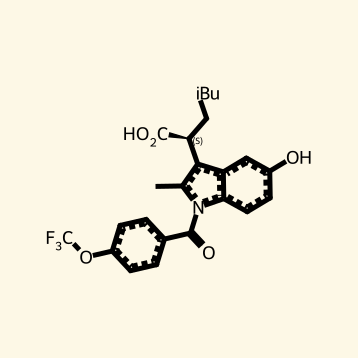 CCC(C)C[C@H](C(=O)O)c1c(C)n(C(=O)c2ccc(OC(F)(F)F)cc2)c2ccc(O)cc12